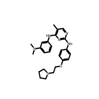 Cc1cnc(Nc2ccc(OCCN3CCCC3)cc2)nc1Nc1cccc(N(C)C)c1